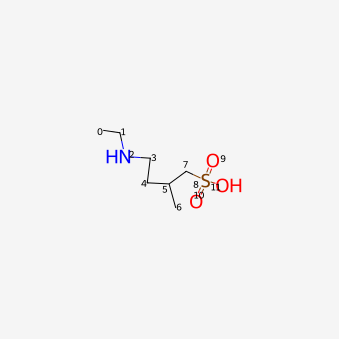 CCNCCC(C)CS(=O)(=O)O